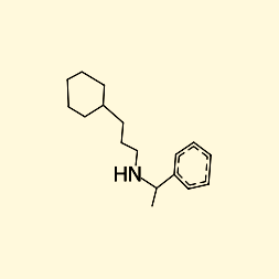 CC(NCCCC1CCCCC1)c1ccccc1